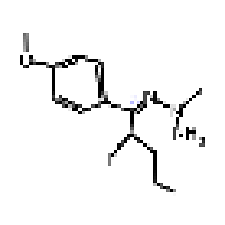 CCCC(I)/C(=N\N(C)N)c1ccc(OC)cc1